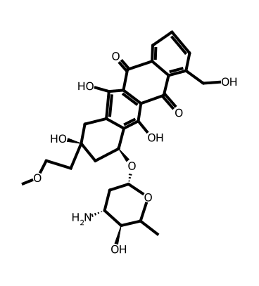 COCC[C@]1(O)Cc2c(O)c3c(c(O)c2[C@@H](O[C@H]2C[C@@H](N)[C@H](O)C(C)O2)C1)C(=O)c1c(CO)cccc1C3=O